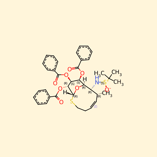 C[C@@H]1/C=C\CCS[C@H]2O[C@H]([C@@H]1N[S@+]([O-])C(C)(C)C)[C@H](OC(=O)c1ccccc1)[C@H](OC(=O)c1ccccc1)[C@H]2OC(=O)c1ccccc1